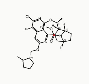 CCCCOC(=O)N1[C@@H]2CC[C@H]1[C@H]1[C@H](C)Oc3nc(Cl)c(F)c4nc(OC[C@@H]5CCCN5C)nc(c34)N1C2